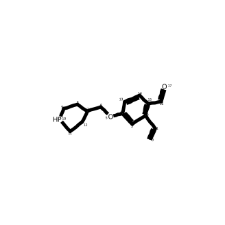 C=Cc1cc(OCC2CCPCC2)ccc1C=O